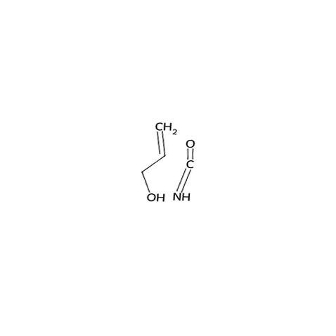 C=CCO.N=C=O